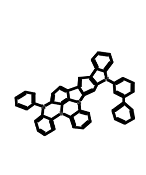 c1ccc(-c2cccc(-n3c4ccccc4c4cc5c6ccc7c8c6n(c5cc43)-c3ccccc3B8c3ccccc3N7c3ccccc3)c2)cc1